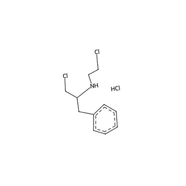 Cl.ClCCNC(CCl)Cc1ccccc1